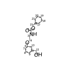 O=C(NCCOc1cccc(CO)c1)OCc1ccccc1